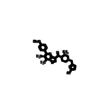 COc1ccc(-c2nc3c(C(=O)N4CCN(Cc5ccc(C(C)=O)s5)C[C@H]4C)cnn3c(C(F)(F)F)c2C)cc1